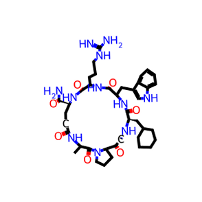 CC1NC(=O)CC[C@@H](C(N)=O)NC(=O)C(CCCNC(=N)N)NC(=O)C(Cc2c[nH]c3ccccc23)NC(=O)[C@@H](CC2CCCCC2)NCC(=O)C2CCCN2C1=O